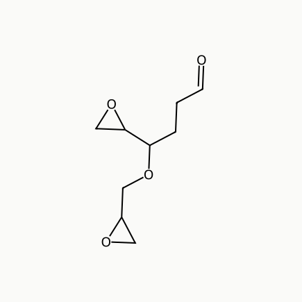 O=CCCC(OCC1CO1)C1CO1